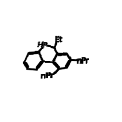 CCCc1cc(CCC)c2c(c1)C(CC)Pc1ccccc1-2